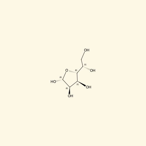 OC[C@H](O)[C@H]1O[C@@H](O)[C@H](O)[C@@H]1O